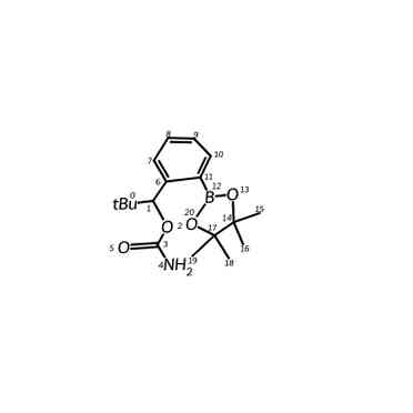 CC(C)(C)C(OC(N)=O)c1ccccc1B1OC(C)(C)C(C)(C)O1